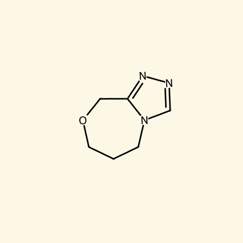 c1nnc2n1CCCOC2